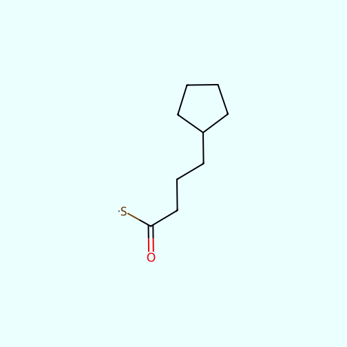 O=C([S])CCCC1CCCC1